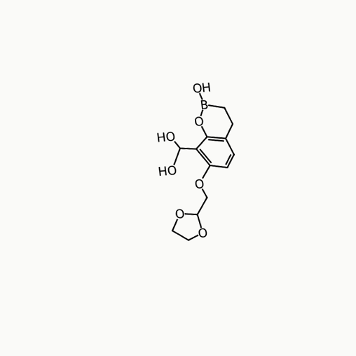 OB1CCc2ccc(OCC3OCCO3)c(C(O)O)c2O1